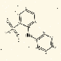 CS(=O)(=O)c1ccccc1Nc1ccncc1